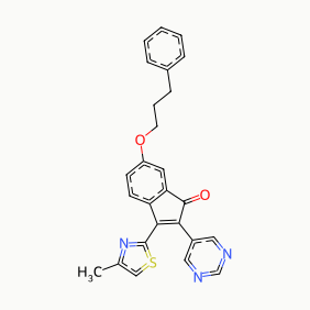 Cc1csc(C2=C(c3cncnc3)C(=O)c3cc(OCCCc4ccccc4)ccc32)n1